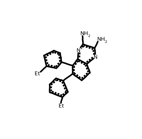 CCc1cccc(-c2ccc3nc(N)c(N)nc3c2-c2cccc(CC)c2)c1